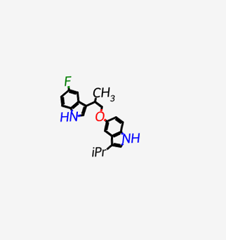 CC(C)c1c[nH]c2ccc(OCC(C)c3c[nH]c4ccc(F)cc34)cc12